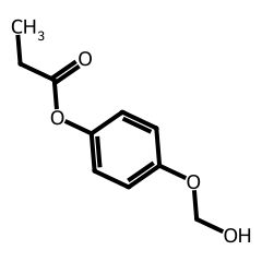 CCC(=O)Oc1ccc(OCO)cc1